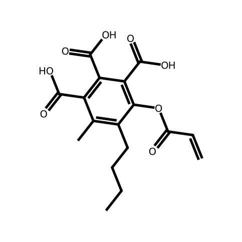 C=CC(=O)Oc1c(CCCC)c(C)c(C(=O)O)c(C(=O)O)c1C(=O)O